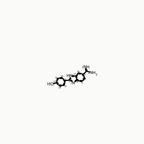 N=C(N)c1ccc2nc(-c3ccc(O)cc3)[nH]c2c1